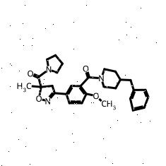 COc1ccc(C2=NOC(C)(C(=O)N3CCCC3)C2)cc1C(=O)N1CCC(Cc2ccccc2)CC1